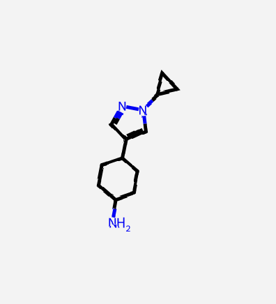 NC1CCC(c2cnn(C3CC3)c2)CC1